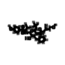 COCCNCC(=O)NN(C(=O)CC(C)(C)C)[C@@H](Cc1ccccc1)[C@H](O)CNC(C(C)C)S(=O)(=O)c1ccc(OC)cc1